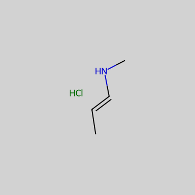 CC=CNC.Cl